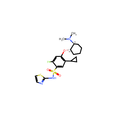 CN(C)[C@H]1CCCC[C@@H]1Oc1cc(F)c(S(=O)(=O)Nc2nccs2)cc1C1CC1